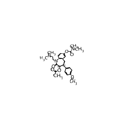 COc1ccc([C@@H]2Cc3cc(OC(=O)N(C)C)ccc3N(CCN(C)C)C(=O)[C@@H]2OC(C)=O)cc1